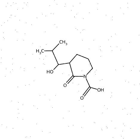 CC(C)C(O)C1CCCN(C(=O)O)C1=O